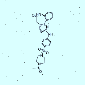 CC(=O)N1CCN(S(=O)(=O)c2ccc(Nc3ncc4c(n3)-c3ccccc3NC(=O)C4)cc2)CC1